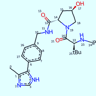 Cc1nc[nH]c1-c1ccc(CNC(=O)[C@@H]2C[C@@H](O)CN2C(=O)[C@@H](NC(C)C)C(C)(C)C)cc1